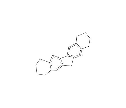 [c]1c2c(cc3c1Cc1cc4c(cc1-3)CCCC4)CCCC2